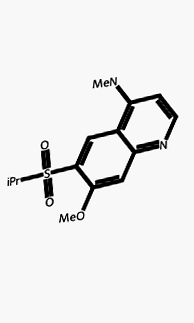 CNc1ccnc2cc(OC)c(S(=O)(=O)C(C)C)cc12